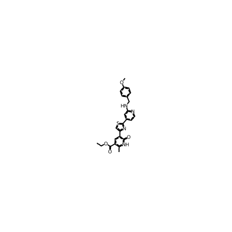 CCOC(=O)c1cc(-c2csc(-c3ccnc(NCc4ccc(OC)cc4)c3)n2)c(=O)[nH]c1C